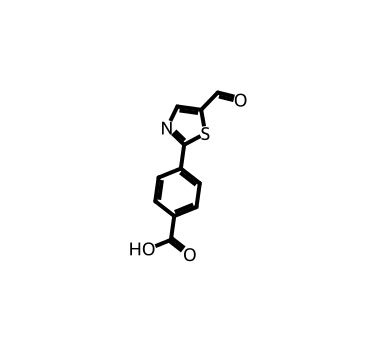 O=Cc1cnc(-c2ccc(C(=O)O)cc2)s1